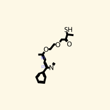 C=N/C(=C\C=C(/C)OCCOCC(=O)C(C)S)c1ccccc1